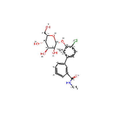 CNC(=O)C1=CC(c2ccc(Cl)c(O[C@H]3O[C@H](CO)[C@@H](O)[C@H](O)[C@]3(C)O)c2)=CC=C=C1